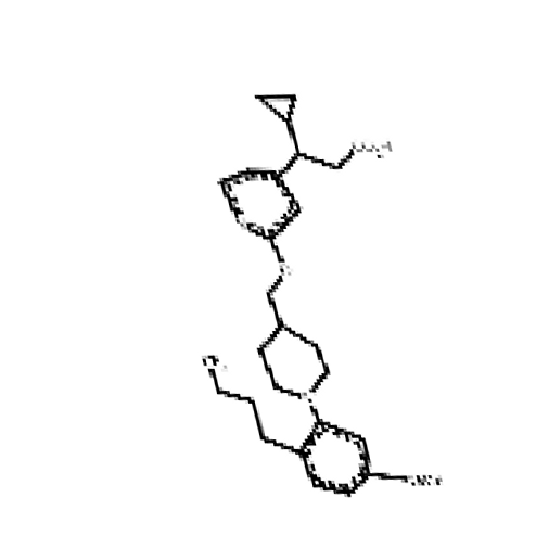 COc1ccc(CCCC(F)(F)F)c(N2CCC(COc3cc(C(CC(=O)O)C4CC4)ccn3)CC2)c1